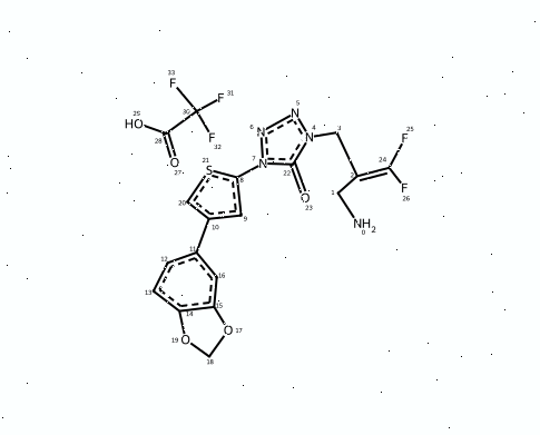 NCC(Cn1nnn(-c2cc(-c3ccc4c(c3)OCO4)cs2)c1=O)=C(F)F.O=C(O)C(F)(F)F